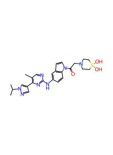 Cc1cnc(Nc2ccc3c(ccn3C(=O)CN3CCS(O)(O)CC3)c2)nc1-c1cnn(C(C)C)c1